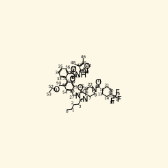 CCCCC1=NC2(CCN(C(=O)[C@H]3CC[C@H](C(F)(F)F)CC3)CC2)C(=O)N1Cc1ccc(-c2ccccc2S(=O)(=O)Nc2noc(C)c2C)c(COCC)c1